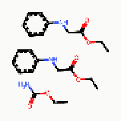 CCOC(=O)CNc1ccccc1.CCOC(=O)CNc1ccccc1.CCOC(N)=O